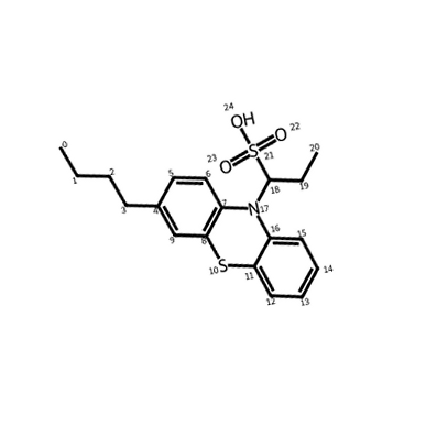 CCCCc1ccc2c(c1)Sc1ccccc1N2C(CC)S(=O)(=O)O